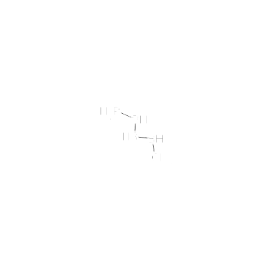 CBBBP